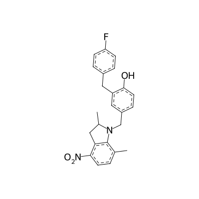 Cc1ccc([N+](=O)[O-])c2c1N(Cc1ccc(O)c(Cc3ccc(F)cc3)c1)C(C)C2